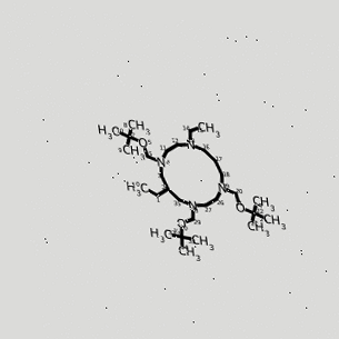 CCC1CN(COC(C)(C)C)CCN(CC)CCCN(COC(C)(C)C)CCN(COC(C)(C)C)C1